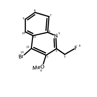 COc1c(CF)nc2ccccc2c1Br